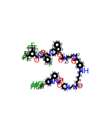 CN(CCN1CCC(OC(=O)Nc2ccccc2-c2ccccc2)CC1)C(=O)CCCCCNc1ccc(CC(=O)N(C)CCCN(C)C(=O)CO[C@H]2Cc3ccccc3C23CCN(CC[C@@]2(c4ccc(F)cc4)CN(C(=O)c4cc(C(F)(F)F)cc(C(F)(F)F)c4)CO2)CC3)cc1.Cl.Cl.Cl